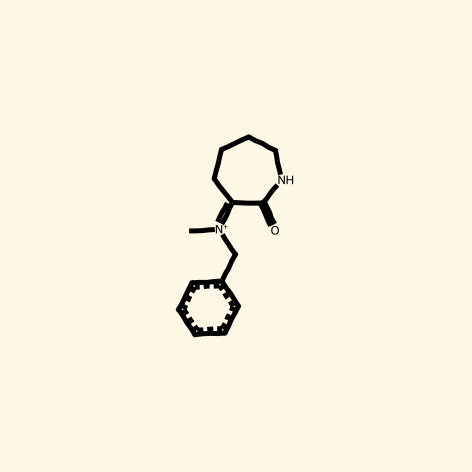 C[N+](Cc1ccccc1)=C1CCCCNC1=O